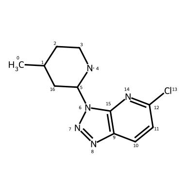 CC1CC[N]C(n2nnc3ccc(Cl)nc32)C1